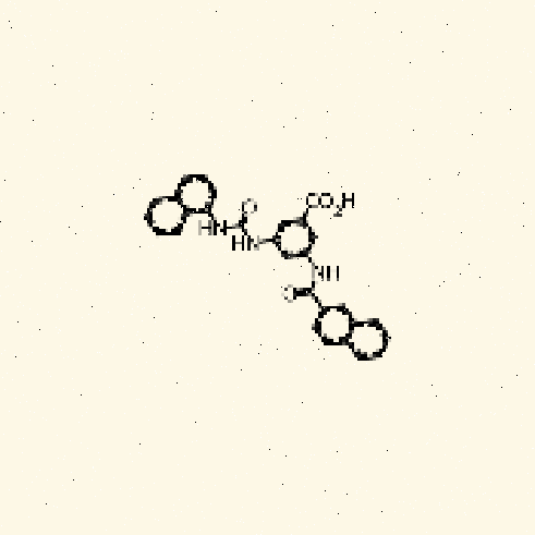 O=C(Nc1cc(NC(=O)c2ccc3ccccc3c2)cc(C(=O)O)c1)Nc1cccc2ccccc12